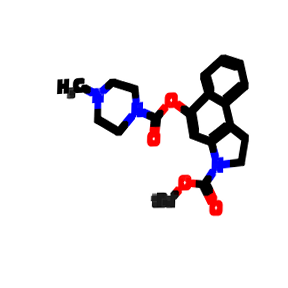 CN1CCN(C(=O)Oc2cc3c(c4ccccc24)CCN3C(=O)OC(C)(C)C)CC1